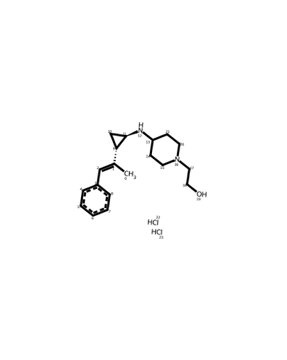 C/C(=C\c1ccccc1)[C@@H]1C[C@H]1NC1CCN(CCO)CC1.Cl.Cl